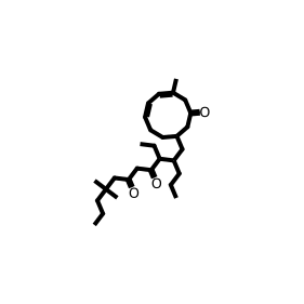 CCCC(CC1CC/C=C\C=C(\C)CC(=O)C1)C(CC)C(=O)CC(=O)CC(C)(C)CCC